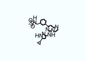 CS(=O)(=O)NCc1cccc(-c2cc3nccn3c(Nc3cc(C4CC4)[nH]n3)n2)c1